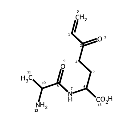 C=CC(=O)CCC(NC(=O)C(C)N)C(=O)O